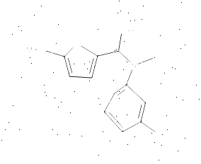 COc1ccc(C(N(C(=O)O)c2cccc(Br)c2)C(C)(C)C)o1